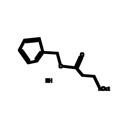 CCCCCCCCCCC(=O)OCc1ccccc1.[KH]